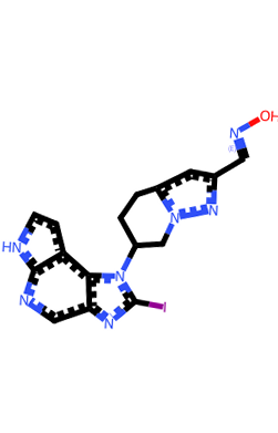 O/N=C/c1cc2n(n1)CC(n1c(I)nc3cnc4[nH]ccc4c31)CC2